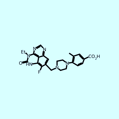 CCN1C(=O)Nc2c(F)c(CN3CCN(c4ccc(C(=O)O)cc4C)CC3)cc3ncnc1c23